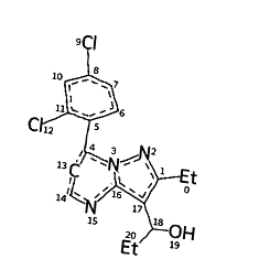 CCc1nn2c(-c3ccc(Cl)cc3Cl)ccnc2c1C(O)CC